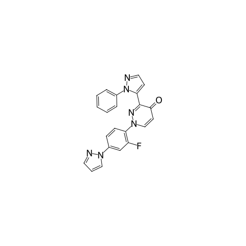 O=c1ccn(-c2ccc(-n3cccn3)cc2F)nc1-c1ccnn1-c1ccccc1